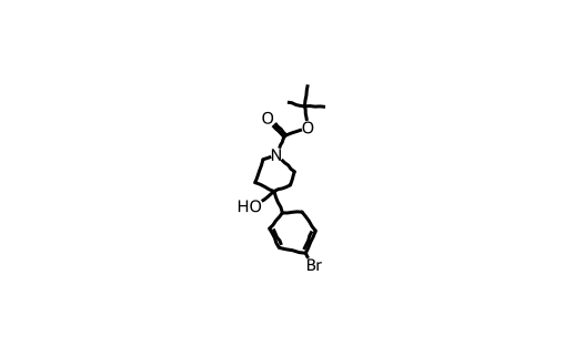 CC(C)(C)OC(=O)N1CCC(O)(C2C=CC(Br)=CC2)CC1